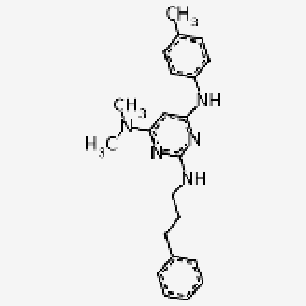 Cc1ccc(Nc2cc(N(C)C)nc(NCCCc3ccccc3)n2)cc1